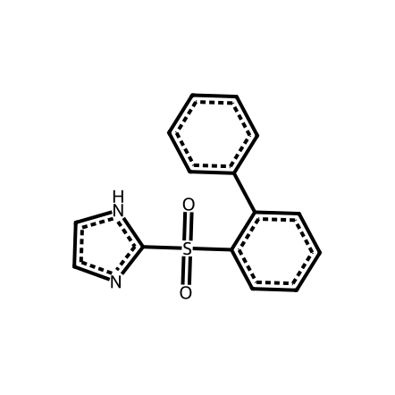 O=S(=O)(c1ncc[nH]1)c1ccccc1-c1ccccc1